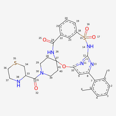 Cc1cccc(C)c1-c1cc2nc(n1)NS(=O)(=O)c1cccc(c1)C(=O)NC1(CCN(C(=O)C3CSCCN3)CC1)O2